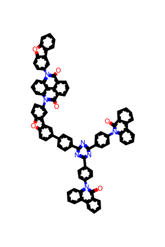 O=c1c2ccccc2c2ccccc2n1-c1ccc(-c2nc(-c3ccc(-c4ccc5oc6ccc(-n7c(=O)c8cccc9c(=O)n(-c%10ccc%11oc%12ccccc%12c%11c%10)c%10cccc7c%10c98)cc6c5c4)cc3)nc(-c3ccc(-n4c(=O)c5ccccc5c5ccccc54)cc3)n2)cc1